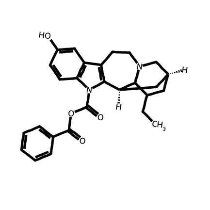 CCC1C[C@H]2C[C@H]3c4c(c5cc(O)ccc5n4C(=O)OC(=O)c4ccccc4)CCN(C2)C13